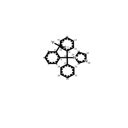 FC(F)(F)c1ccccc1C(c1ccccc1)(c1ccccc1)n1ccnc1